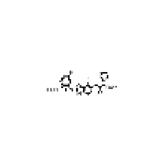 CO[C@@H](C(=O)Cc1ccc2nc(Nc3cc(F)ccc3CN)oc2c1F)N1C[CH]CC1